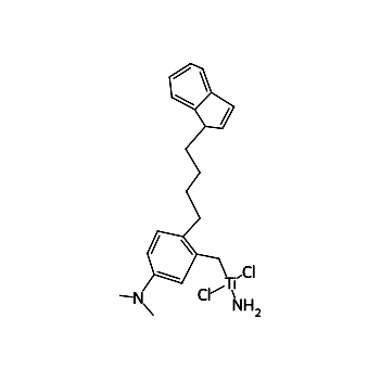 CN(C)c1ccc(CCCCC2C=Cc3ccccc32)c([CH2][Ti]([NH2])([Cl])[Cl])c1